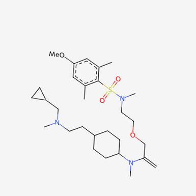 C=C(COCCN(C)S(=O)(=O)c1c(C)cc(OC)cc1C)N(C)C1CCC(CCN(C)CC2CC2)CC1